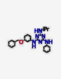 CC(C)Nc1nc(Nc2ccccc2)nc(Nc2cccc(OCc3ccccc3)c2)n1